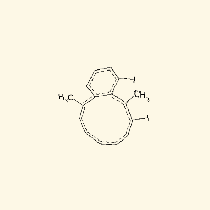 Cc1cccccc(I)c(C)c2c(I)cccc12